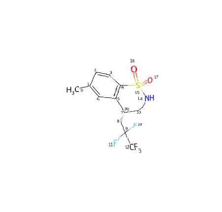 Cc1ccc2c(c1)[C@@H](CC(F)(F)C(F)(F)F)CNS2(=O)=O